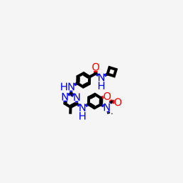 [CH2]n1c(=O)oc2ccc(Nc3nc(Nc4ccc(C(=O)NC5CCC5)cc4)ncc3C)cc21